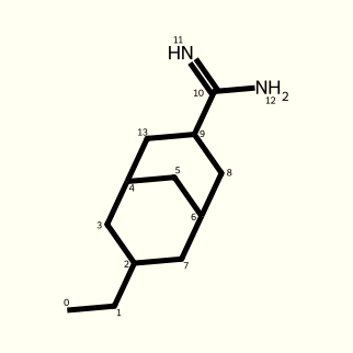 CCC1CC2CC(C1)CC(C(=N)N)C2